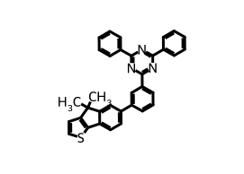 CC1(C)c2cc(-c3cccc(-c4nc(-c5ccccc5)nc(-c5ccccc5)n4)c3)ccc2-c2sccc21